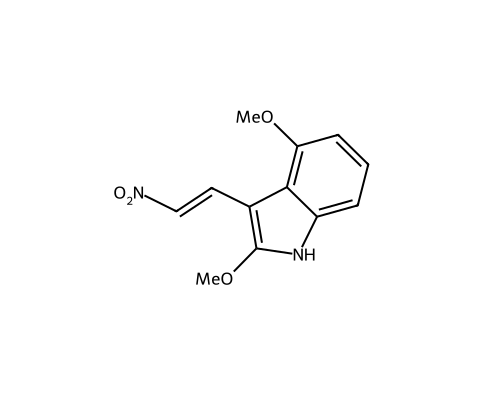 COc1[nH]c2cccc(OC)c2c1C=C[N+](=O)[O-]